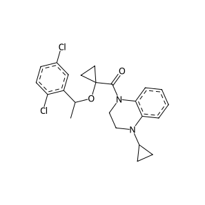 CC(OC1(C(=O)N2CCN(C3CC3)c3ccccc32)CC1)c1cc(Cl)ccc1Cl